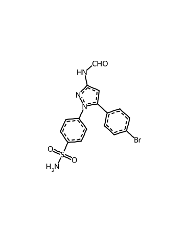 NS(=O)(=O)c1ccc(-n2nc(NC=O)cc2-c2ccc(Br)cc2)cc1